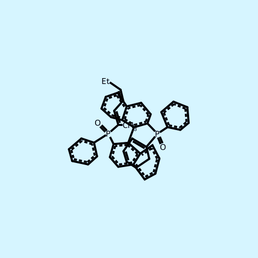 CC/C=C\C=C(/C)P(=O)(c1ccccc1)c1ccc2ccccc2c1-c1c(P(=O)(C2=CC=CCC2)c2ccccc2)ccc2ccccc12